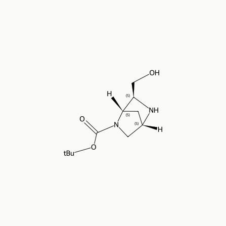 CC(C)(C)OC(=O)N1C[C@@H]2C[C@H]1[C@@H](CO)N2